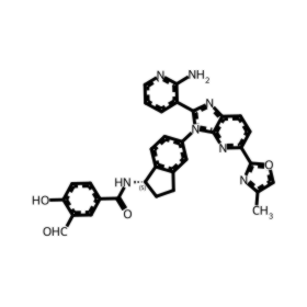 Cc1coc(-c2ccc3nc(-c4cccnc4N)n(-c4ccc5c(c4)CC[C@@H]5NC(=O)c4ccc(O)c(C=O)c4)c3n2)n1